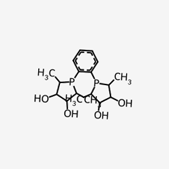 CC1C(O)C(O)C(C)P1c1ccccc1P1C(C)C(O)C(O)C1C